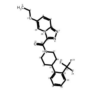 CCOc1ccc2nnc(C(=O)N3CCC(c4ccccc4C(F)(F)F)CC3)n2c1